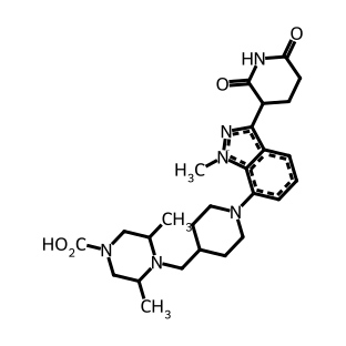 CC1CN(C(=O)O)CC(C)N1CC1CCN(c2cccc3c(C4CCC(=O)NC4=O)nn(C)c23)CC1